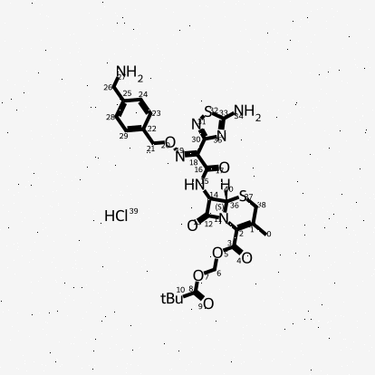 CC1=C(C(=O)OCOC(=O)C(C)(C)C)N2C(=O)C(NC(=O)C(=NOCc3ccc(CN)cc3)c3nsc(N)n3)[C@@H]2SC1.Cl